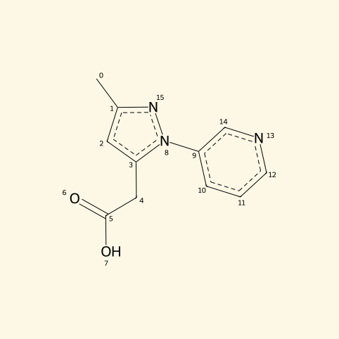 Cc1cc(CC(=O)O)n(-c2cccnc2)n1